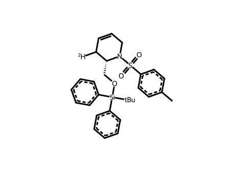 [2H]C1C=CCN(S(=O)(=O)c2ccc(C)cc2)[C@@H]1CO[Si](c1ccccc1)(c1ccccc1)C(C)(C)C